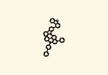 c1ccc(-c2ccc(N(c3ccc(-c4ccccc4)cc3)c3ccccc3-c3ccccc3-n3c4ccccc4c4ccc(-c5cccc6oc7ccccc7c56)cc43)cc2)cc1